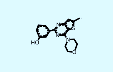 [CH2]c1cc2nc(-c3cccc(O)c3)nc(N3CCOCC3)c2s1